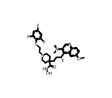 COc1ccc2ncc(N(C)C)c([C@H](F)CCC3(C(=O)NO)CCN(CCSc4c(F)cc(F)cc4F)CC3)c2c1